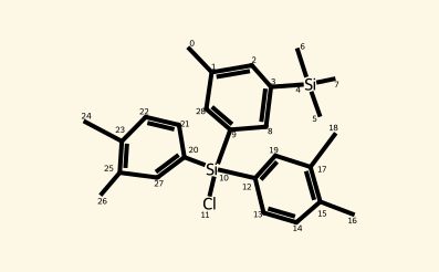 Cc1cc([Si](C)(C)C)cc([Si](Cl)(c2ccc(C)c(C)c2)c2ccc(C)c(C)c2)c1